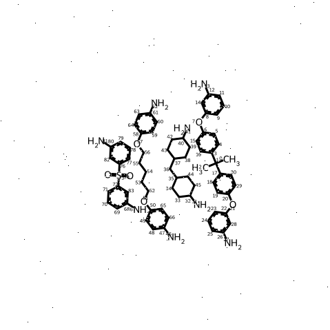 CC(C)(c1ccc(Oc2cccc(N)c2)cc1)c1ccc(Oc2cccc(N)c2)cc1.NC1CCC(CC2CCC(N)CC2)CC1.Nc1ccc(OCCCCCOc2ccc(N)cc2)cc1.Nc1cccc(S(=O)(=O)c2cccc(N)c2)c1